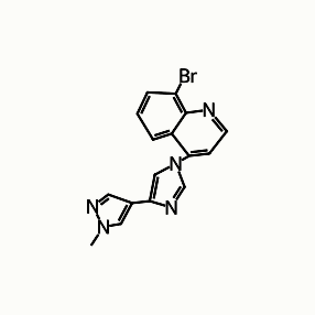 Cn1cc(-c2cn(-c3ccnc4c(Br)cccc34)cn2)cn1